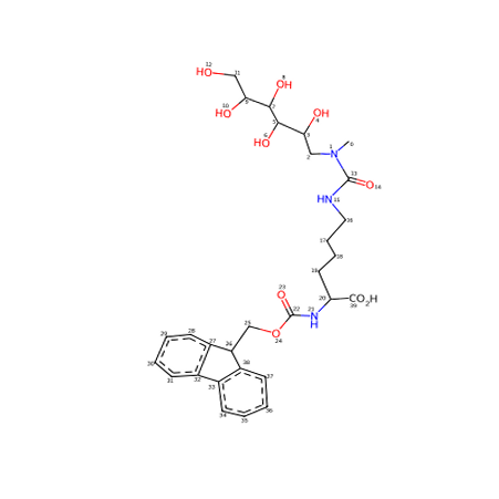 CN(CC(O)C(O)C(O)C(O)CO)C(=O)NCCCCC(NC(=O)OCC1c2ccccc2-c2ccccc21)C(=O)O